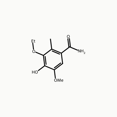 CCOc1c(C)c(C(N)=O)cc(OC)c1O